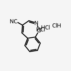 Cl.Cl.Cl.N#CC1=Cc2ccccc2ON=C1